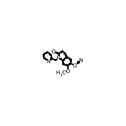 COc1cc2c(ccc(=O)n2Cc2ccccn2)cc1OC#N